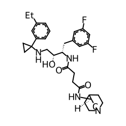 CCc1cccc(C2(NC[C@@H](O)[C@H](Cc3cc(F)cc(F)c3)NC(=O)CCC(=O)N[C@@H]3CN4CCC3CC4)CC2)c1